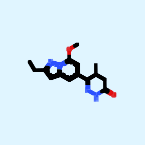 CCc1cc2cc(C3=NNC(=O)CC3C)cc(OC)n2n1